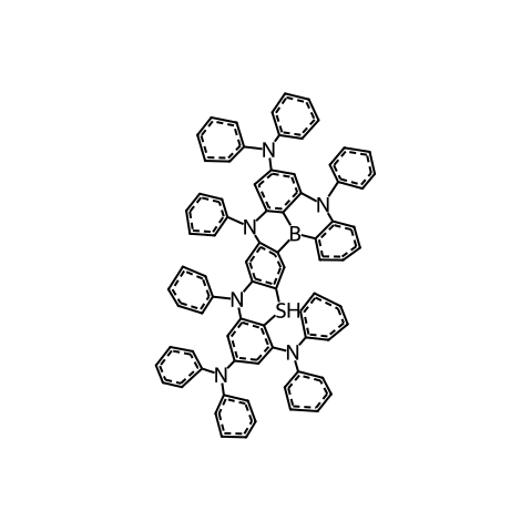 c1ccc(N(c2ccccc2)c2cc3c4c(c2)N(c2ccccc2)c2cc5c(cc2B4c2ccccc2N3c2ccccc2)[SH]2c3ccccc3N(c3ccccc3)c3cc(N(c4ccccc4)c4ccccc4)cc(c32)N5c2ccccc2)cc1